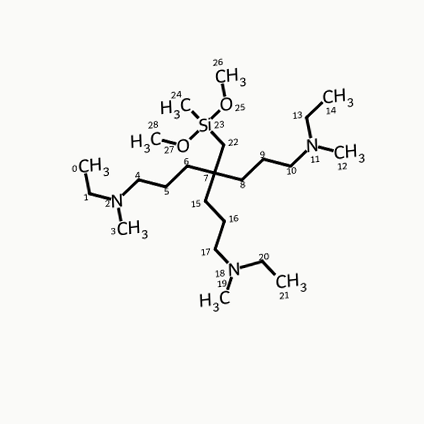 CCN(C)CCCC(CCCN(C)CC)(CCCN(C)CC)C[Si](C)(OC)OC